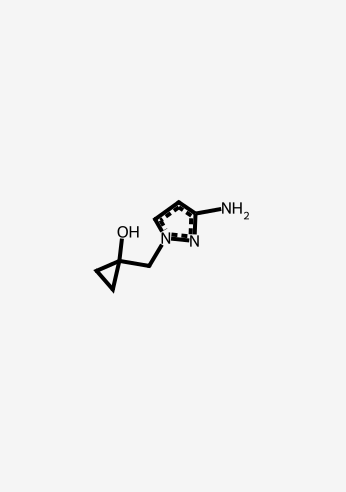 Nc1ccn(CC2(O)CC2)n1